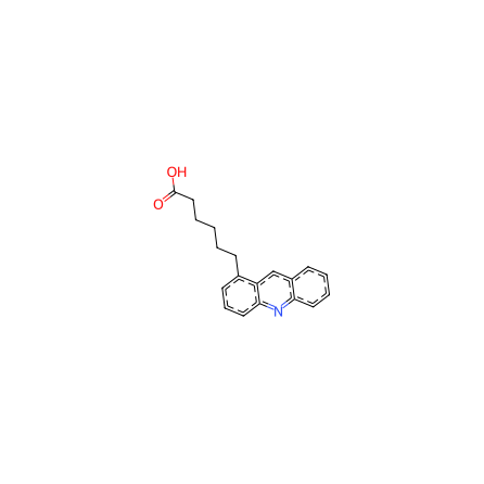 O=C(O)CCCCCc1cccc2nc3ccccc3cc12